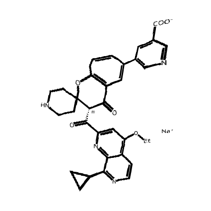 CCOc1cc(C(=O)[C@H]2C(=O)c3cc(-c4cncc(C(=O)[O-])c4)ccc3OC23CCNCC3)nc2c(C3CC3)nccc12.[Na+]